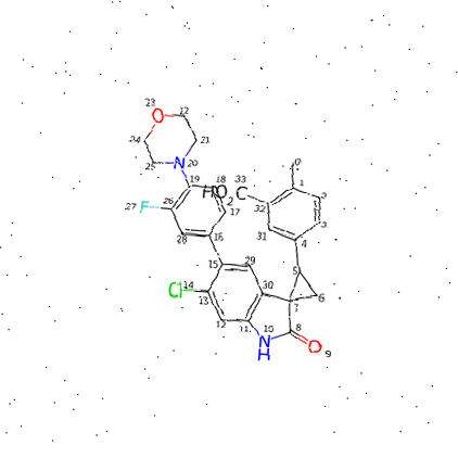 Cc1ccc(C2CC23C(=O)Nc2cc(Cl)c(-c4ccc(N5CCOCC5)c(F)c4)cc23)cc1C(=O)O